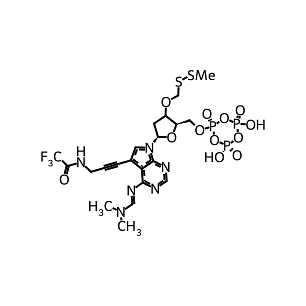 CSSCOC1C[C@H](n2cc(C#CCNC(=O)C(F)(F)F)c3c(/N=C/N(C)C)ncnc32)O[C@@H]1COP1(=O)OP(=O)(O)OP(=O)(O)O1